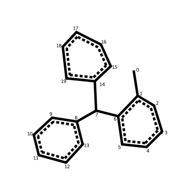 Cc1c[c]ccc1C(c1ccccc1)c1ccccc1